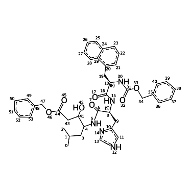 CC(C)CC(NC(=O)[C@H](Cc1c[nH]cn1)NC(=O)[C@@H](Cc1cccc2ccccc12)NC(=O)OCc1ccccc1)C(O)CC(=O)OCc1ccccc1